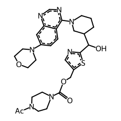 CC(=O)N1CCN(C(=O)OCc2cnc(C(O)C3CCCN(c4ncnc5cc(N6CCOCC6)ccc45)C3)s2)CC1